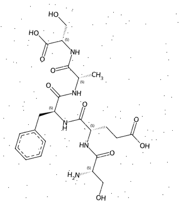 C[C@H](NC(=O)[C@H](Cc1ccccc1)NC(=O)[C@H](CCC(=O)O)NC(=O)[C@@H](N)CO)C(=O)N[C@@H](CO)C(=O)O